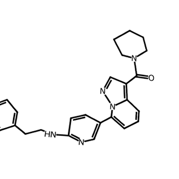 O=C(c1cnn2c(-c3ccc(NCCc4cccnc4)nc3)cccc12)N1CCCCC1